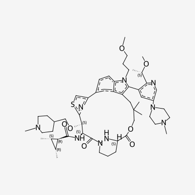 COCCCn1c(-c2cc(N3CCN(C)CC3)cnc2[C@H](C)OC)c2c3cc(ccc31)-c1csc(n1)[C@@H](OCC1CCN(C)CC1)[C@H](NC(=O)[C@H]1[C@H](C)[C@@H]1C)C(=O)N1CCC[C@H](N1)C(=O)OCC(C)(C)C2